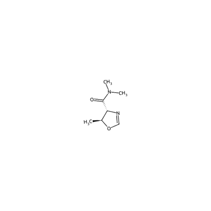 C[C@@H]1OC=N[C@H]1C(=O)N(C)C